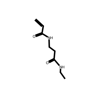 C=CC(=O)NCCC(=O)NCC